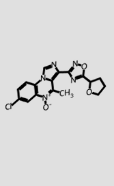 Cc1c2c(-c3noc(C4CCCO4)n3)ncn2c2ccc(Cl)cc2[n+]1[O-]